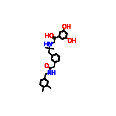 Cc1ccc(CNC(=O)Cc2cccc(CC(C)(C)NC[C@H](O)c3cc(O)cc(O)c3)c2)cc1C